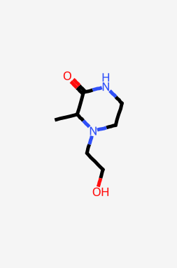 CC1C(=O)NCCN1CCO